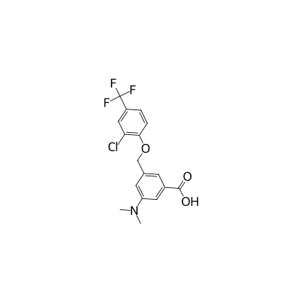 CN(C)c1cc(COc2ccc(C(F)(F)F)cc2Cl)cc(C(=O)O)c1